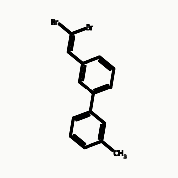 Cc1cccc(-c2cccc(C=C(Br)Br)c2)c1